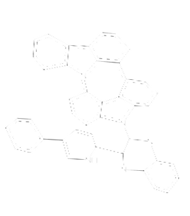 C1=CC(C2Nc3ccccc3NC2n2c3cccc4c5cccc6c7ccccc7n(c7cccc2c7c43)c56)NC=C1c1ccccc1